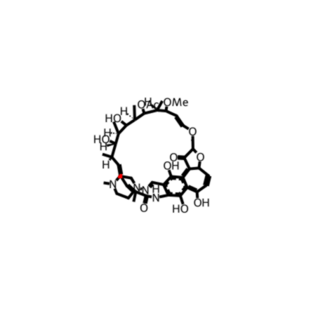 COC1/C=C/O[C@@]2(C)OC3C#CC(O)=c4c(O)c(c(/C=N/N5CCN(C)CC5)c(O)c4=C3C2=O)NC(=O)/C(C)=C\C=C\[C@H](C)[C@H](O)[C@@H](C)C(O)[C@@H](C)C(OC(C)=O)[C@@H]1C